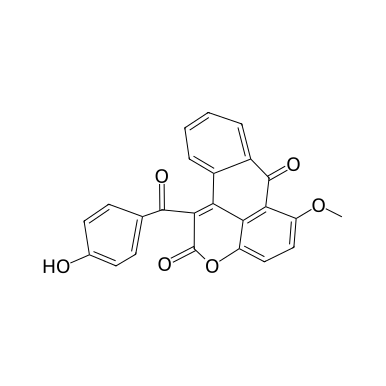 COc1ccc2oc(=O)c(C(=O)c3ccc(O)cc3)c3c2c1C(=O)c1ccccc1-3